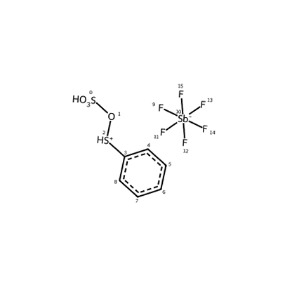 O=S(=O)(O)O[SH+]c1ccccc1.[F][Sb-]([F])([F])([F])([F])[F]